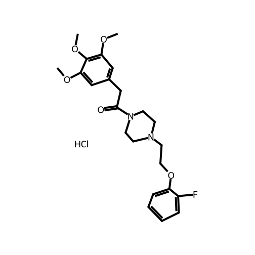 COc1cc(CC(=O)N2CCN(CCOc3ccccc3F)CC2)cc(OC)c1OC.Cl